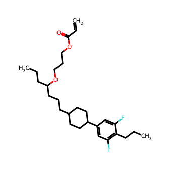 C=CC(=O)OCCCOC(CCC)CCCC1CCC(c2cc(F)c(CCC)c(F)c2)CC1